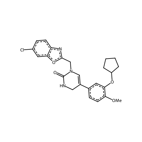 COc1ccc(C2=CN(Cc3nc4ccc(Cl)cc4o3)C(=O)NC2)cc1OC1CCCC1